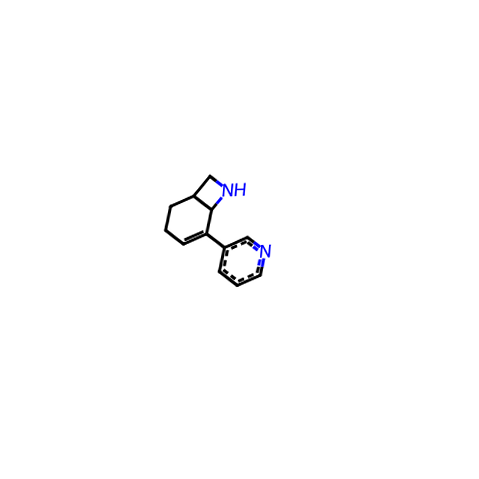 C1=C(c2cccnc2)C2NCC2CC1